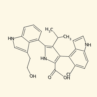 CC(C)c1c(-c2cccc3[nH]cc(CCO)c23)[nH]c(C(=O)O)c1-c1c(Cl)ccc2[nH]ccc12